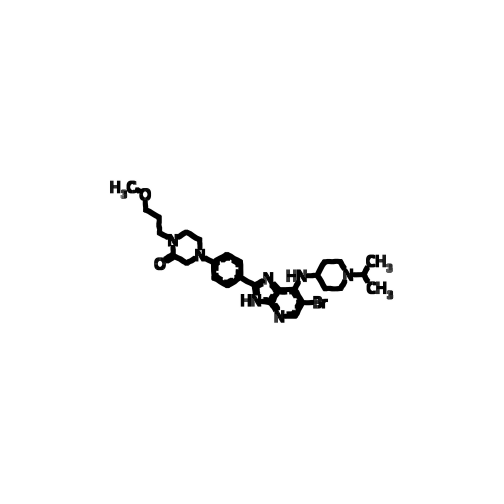 COCCCN1CCN(c2ccc(-c3nc4c(NC5CCN(C(C)C)CC5)c(Br)cnc4[nH]3)cc2)CC1=O